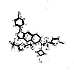 Cn1ccc(S(=O)(=O)N([C@H]2CCC3=Cc4c(cnn4-c4ccc(F)cc4)C[C@]3(C(=O)c3ncc(C(F)(F)F)s3)C2)[C@H]2C[C@@H](C)C2)n1